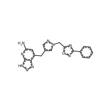 Nc1cc(Cc2cnn(Cc3nc(-c4ccccc4)no3)c2)c2nn[nH]c2n1